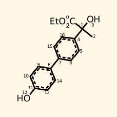 CCOC(=O)C(C)(O)c1ccc(-c2ccc(O)cc2)cc1